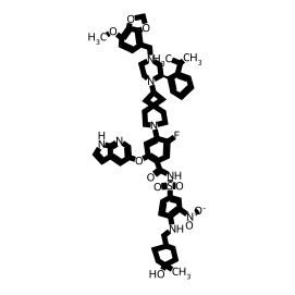 COc1ccc(CN2CCN(C3CC4(CCN(c5cc(Oc6cnc7[nH]ccc7c6)c(C(=O)NS(=O)(=O)c6ccc(NCC7CCC(C)(O)CC7)c([N+](=O)[O-])c6)cc5F)CC4)C3)[C@H](c3ccccc3C(C)C)C2)c2c1OCO2